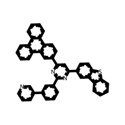 c1cncc(-c2cccc(-c3nc(-c4ccc5sc6ccccc6c5c4)cc(-c4ccc5c6ccccc6c6ccccc6c5c4)n3)c2)c1